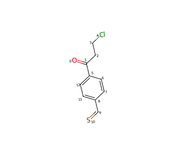 O=C(CCCl)c1ccc(C=S)cc1